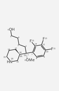 CO[C@](CCCCO)(c1ccc(F)c(F)c1F)[C@@H]1CCCNC1